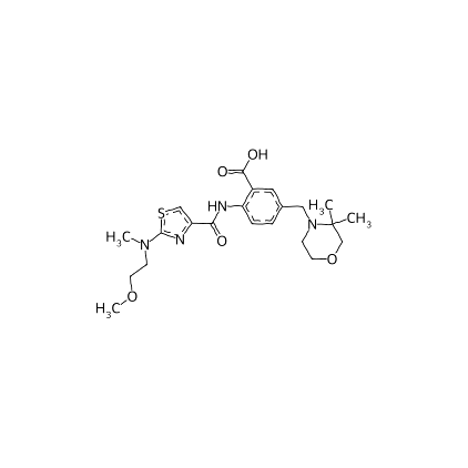 COCCN(C)c1nc(C(=O)Nc2ccc(CN3CCOCC3(C)C)cc2C(=O)O)cs1